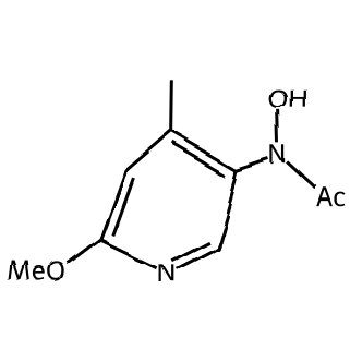 COc1cc(C)c(N(O)C(C)=O)cn1